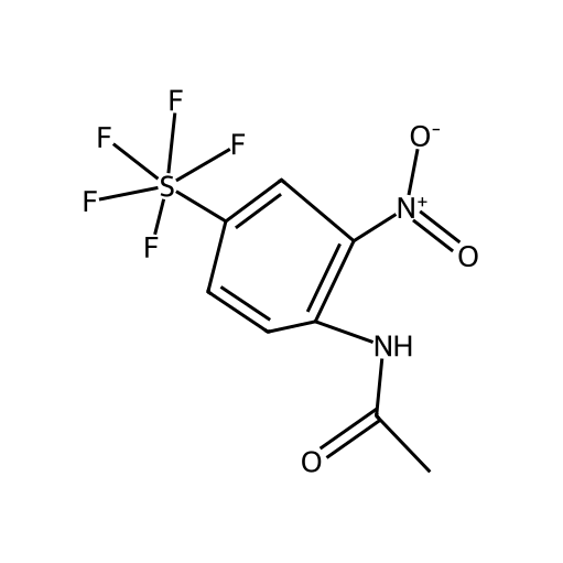 CC(=O)Nc1ccc(S(F)(F)(F)(F)F)cc1[N+](=O)[O-]